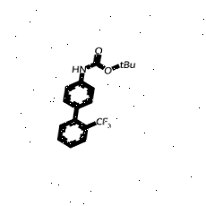 CC(C)(C)OC(=O)Nc1ccc(-c2ccccc2C(F)(F)F)cc1